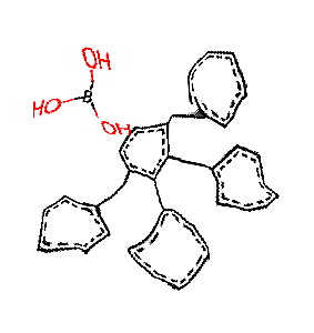 OB(O)O.c1ccc(-c2ccc(-c3ccccc3)c(-c3ccccc3)c2-c2ccccc2)cc1